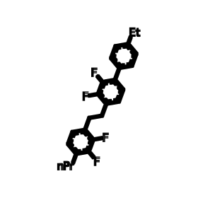 CCCc1ccc(CCc2ccc(-c3ccc(CC)cc3)c(F)c2F)c(F)c1F